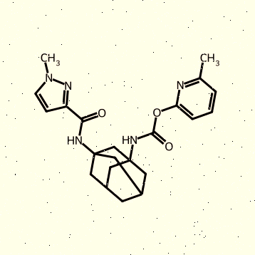 Cc1cccc(OC(=O)NC23CC4CC(C2)CC(NC(=O)c2ccn(C)n2)(C4)C3)n1